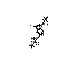 CC(C)(C)OC(=O)NCc1cc2c(Cl)cn(C(=O)OC(C)(C)C)c2cn1